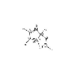 COCC1(C)N=C(C)C(C)=[N+]1C